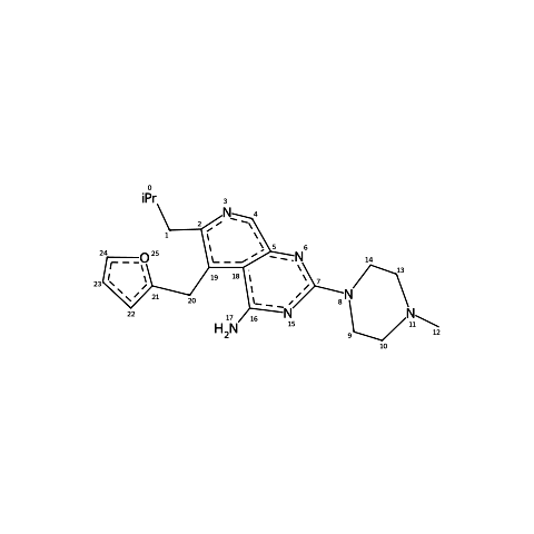 CC(C)Cc1ncc2nc(N3CCN(C)CC3)nc(N)c2c1Cc1ccco1